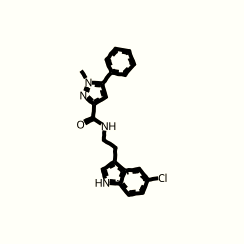 Cn1nc(C(=O)NCCc2c[nH]c3ccc(Cl)cc23)cc1-c1ccccc1